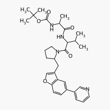 CC(NC(=O)OC(C)(C)C)C(=O)NC(C(=O)N1CCCC1Cc1coc2ccc(-c3cccnc3)cc12)C(C)C